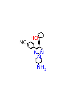 N#Cc1ccc(-c2nc(N3CCC(N)CC3)ncc2C#CC2(O)CCCC2)cc1